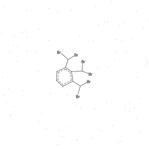 BrC(Br)c1[c]ccc(C(Br)Br)c1C(Br)Br